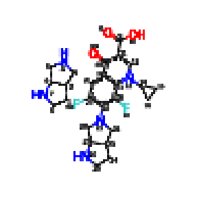 C1CC2CNCC2N1.O=C(O)c1cn(C2CC2)c2c(F)c(N3CC4CCNC4C3)c(F)cc2c1=O